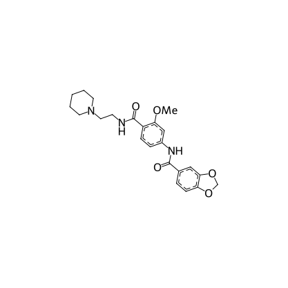 COc1cc(NC(=O)c2ccc3c(c2)OCO3)ccc1C(=O)NCCN1CCCCC1